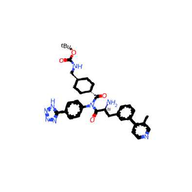 Cc1cnccc1-c1cccc(C[C@H](N)C(=O)N(c2ccc(-c3nnn[nH]3)cc2)C(=O)[C@H]2CC[C@H](CNC(=O)OC(C)(C)C)CC2)c1